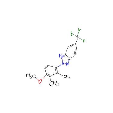 COc1ccc(-n2nc3ccc(C(F)(F)F)cc3n2)c(C)c1C